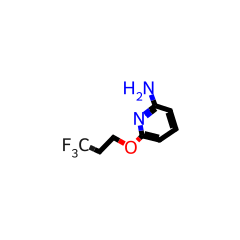 Nc1cccc(OCCC(F)(F)F)n1